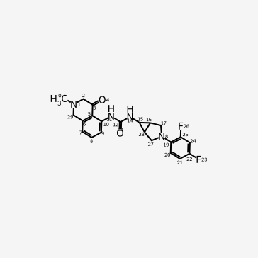 CN1CC(=O)c2c(cccc2NC(=O)NC2C3CN(c4ccc(F)cc4F)CC32)C1